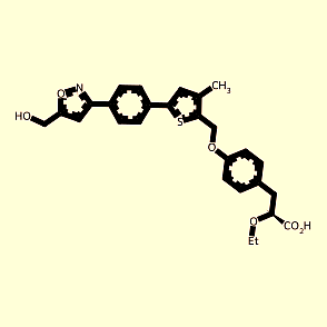 CCO[C@@H](Cc1ccc(OCc2sc(-c3ccc(-c4cc(CO)on4)cc3)cc2C)cc1)C(=O)O